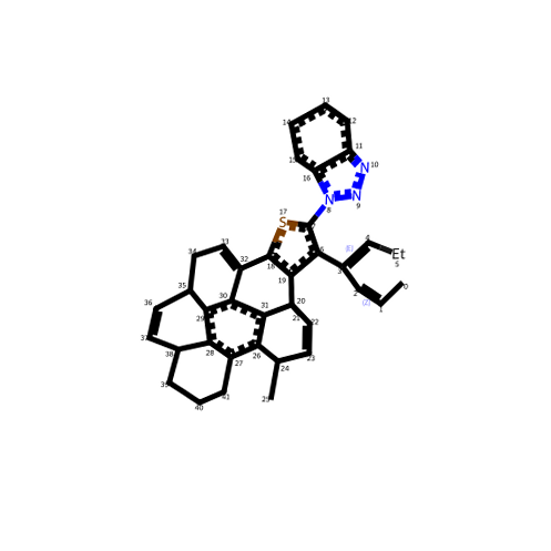 C/C=C\C(=C/CC)c1c(-n2nnc3ccccc32)sc2c1C1(C)C=CC(C)c3c4c5c6c(c31)C2=CCC6C=CC5CCC4